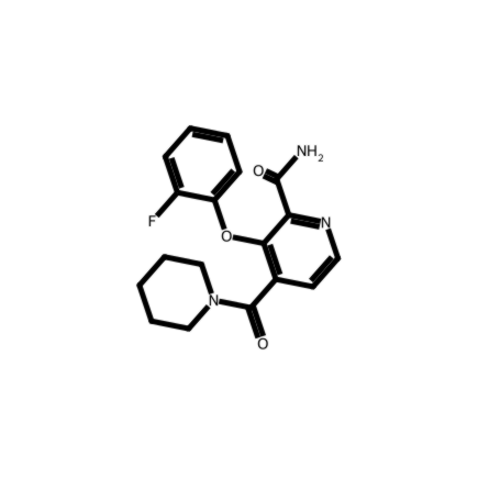 NC(=O)c1nccc(C(=O)N2CCCCC2)c1Oc1ccccc1F